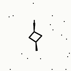 C[C@H]1C[C@@H](I)C1